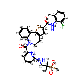 Cc1cccc(F)c1NC(=O)c1cc2c(s1)-c1ccccc1N(C(=O)c1cccc(NCC(C)(C)S(C)(=O)=O)n1)CC2